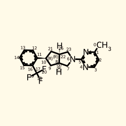 Cc1ccnc(N2C[C@H]3C[C@@H](c4ccccc4C(F)(F)F)C[C@H]3C2)n1